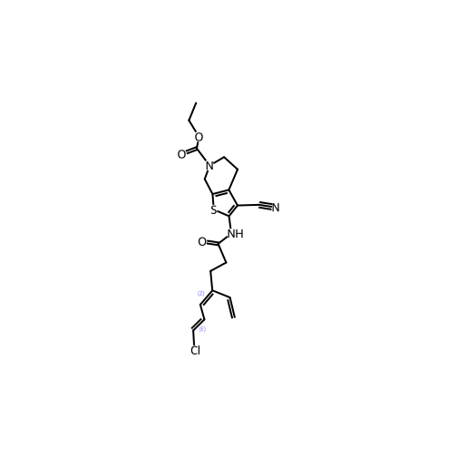 C=C/C(=C\C=C\Cl)CCC(=O)Nc1sc2c(c1C#N)CCN(C(=O)OCC)C2